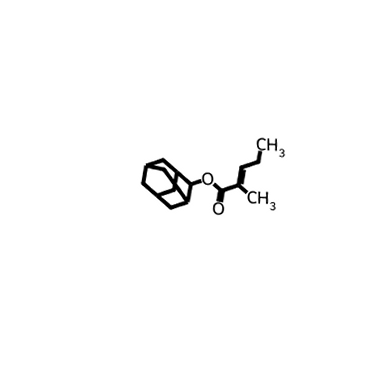 CCC=C(C)C(=O)OC1C2CC3CC(C2)CC1C3